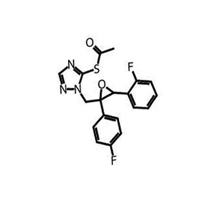 CC(=O)Sc1ncnn1CC1(c2ccc(F)cc2)OC1c1ccccc1F